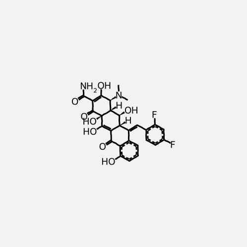 CN(C)[C@@H]1C(O)=C(C(N)=O)C(=O)[C@@]2(O)C(O)=C3C(=O)c4c(O)cccc4/C(=C\c4ccc(F)cc4F)[C@H]3[C@H](O)[C@@H]12